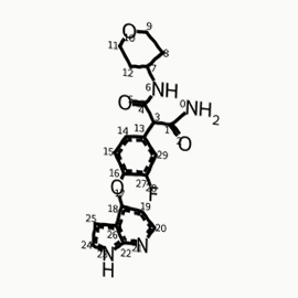 NC(=O)C(C(=O)NC1CCOCC1)c1ccc(Oc2ccnc3[nH]ccc23)c(F)c1